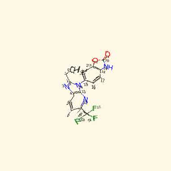 CCc1nc2ccc(C(F)(F)F)nc2n1-c1ccc2[nH]c(=O)oc2c1